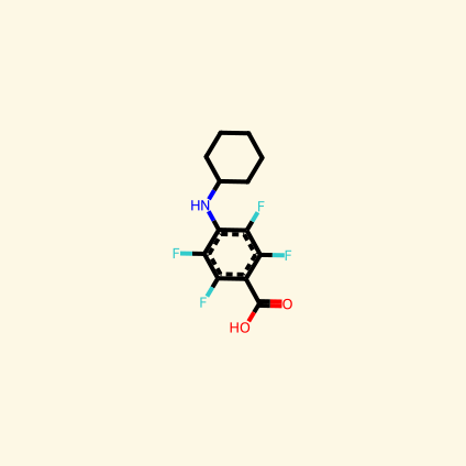 O=C(O)c1c(F)c(F)c(NC2CCCCC2)c(F)c1F